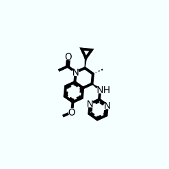 COc1ccc2c(c1)[C@H](Nc1ncccn1)[C@@H](C)[C@H](C1CC1)N2C(C)=O